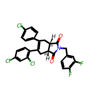 O=C1[C@H]2CC(c3ccc(Cl)cc3)=C(c3ccc(Cl)cc3Cl)C[C@H]2C(=O)N1Cc1ccc(F)c(F)c1